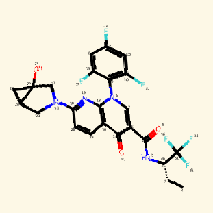 CC[C@H](NC(=O)c1cn(-c2c(F)cc(F)cc2F)c2nc(N3CC4CC4(O)C3)ccc2c1=O)C(F)(F)F